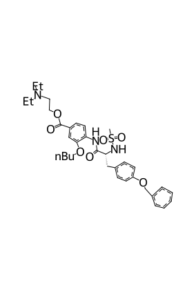 CCCCOc1cc(C(=O)OCCN(CC)CC)ccc1NC(=O)[C@@H](Cc1ccc(OCc2ccccc2)cc1)NS(C)(=O)=O